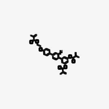 C=C(C)C(=O)OCCOc1ccc(-c2ccc(-c3cc(OC(=O)C(=C)C)cc(OC(=O)C(=C)C)c3)c(F)c2)cc1